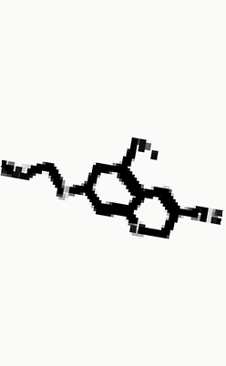 COCOC1C=C2OCC(C=O)=CC2=C(C)C1